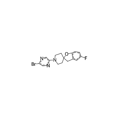 Fc1ccc2c(c1)CC1(CCN(c3cnc(Br)cn3)CC1)O2